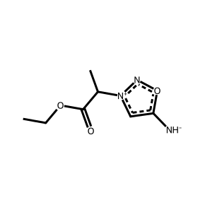 CCOC(=O)C(C)[n+]1cc([NH-])on1